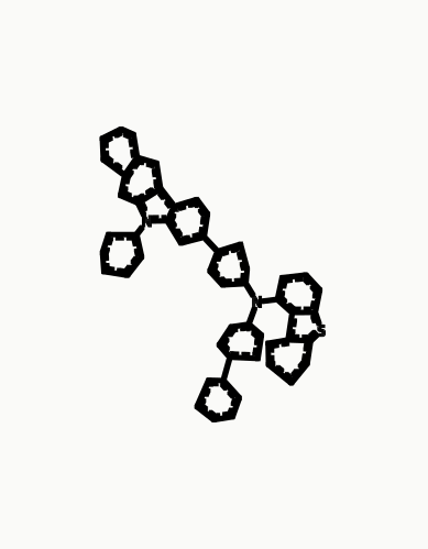 c1ccc(-c2ccc(N(c3ccc(-c4ccc5c6cc7ccccc7cc6n(-c6ccccc6)c5c4)cc3)c3cccc4sc5ccccc5c34)cc2)cc1